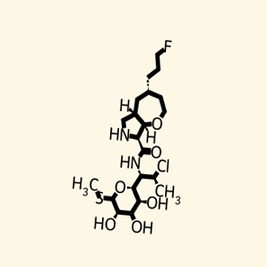 CSC1O[C@H]([C@H](NC(=O)[C@H]2NC[C@@H]3C[C@H](CCCF)CCO[C@H]32)[C@H](C)Cl)[C@@H](O)C(O)[C@H]1O